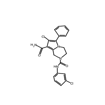 NC(=O)c1c(Cl)c(-c2ccccc2)n2c1CN(C(=O)Nc1cccc(Cl)c1)CC2